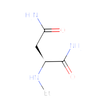 CCN[C@@H](CC(N)=O)C(N)=O